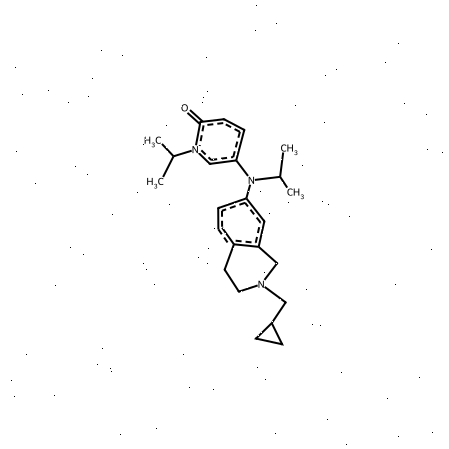 CC(C)N(c1ccc2c(c1)CN(CC1CC1)CC2)c1ccc(=O)n(C(C)C)c1